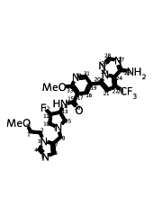 COCCn1cncc1CN1CC(F)C(NC(=O)c2cc(-c3cc(C(F)(F)F)c4c(N)ncnn34)cnc2OC)C1